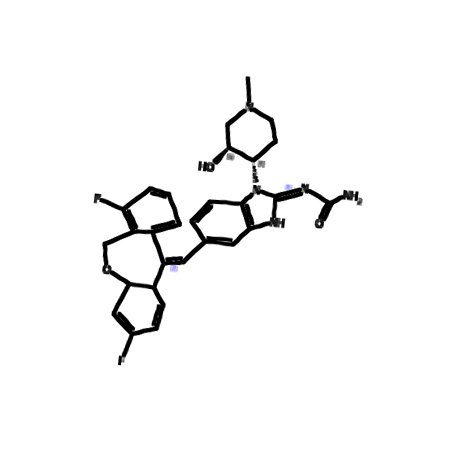 CN1CC[C@H](n2/c(=N/C(N)=O)[nH]c3cc(/C=C4\c5cccc(F)c5COC5C=C(F)C=CC45)ccc32)[C@@H](O)C1